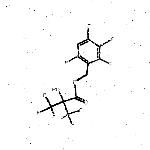 O=C(OCc1c(F)cc(F)c(F)c1F)C(O)(C(F)(F)F)C(F)(F)F